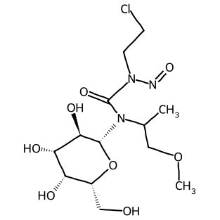 COCC(C)N(C(=O)N(CCCl)N=O)[C@@H]1O[C@H](CO)[C@H](O)[C@H](O)[C@H]1O